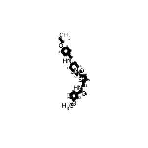 CCCOc1ccc(CNC2CCN(S(=O)(=O)c3ccc(CNC(=O)c4cccc(OC)c4)s3)CC2)cc1